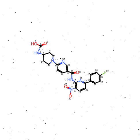 O=C(O)NC1CCN(c2ccc(C(=O)Nc3nc(-c4ccc(F)cc4)ccc3[N+](=O)[O-])cn2)CC1